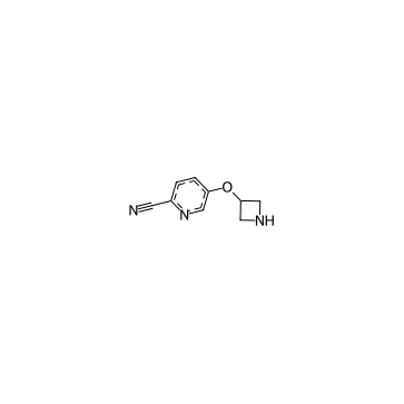 N#Cc1ccc(OC2CNC2)cn1